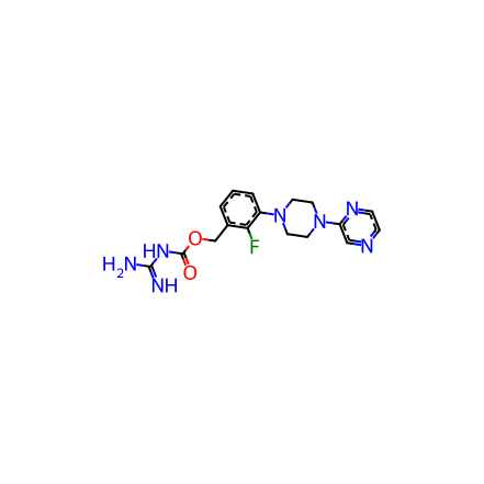 N=C(N)NC(=O)OCc1cccc(N2CCN(c3cnccn3)CC2)c1F